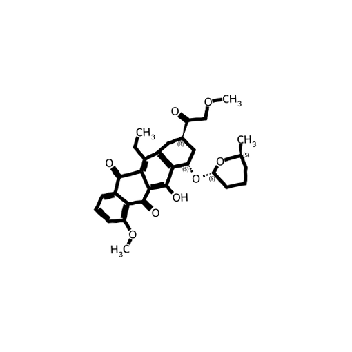 CCc1c2c(c(O)c3c1C(=O)c1cccc(OC)c1C3=O)[C@@H](O[C@H]1CCC[C@H](C)O1)C[C@H](C(=O)COC)C2